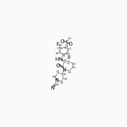 CS(=O)(=O)c1cc(F)c(NC2CCCCN(C3CCN(C#N)CC3)C2=O)cc1F